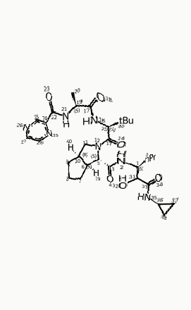 CCC[C@H](NC(=O)[C@@H]1[C@H]2CCC[C@H]2CN1C(=O)[C@@H](NC(=O)[C@H](C)NC(=O)c1cnccn1)C(C)(C)C)C(O)C(=O)NC1CC1